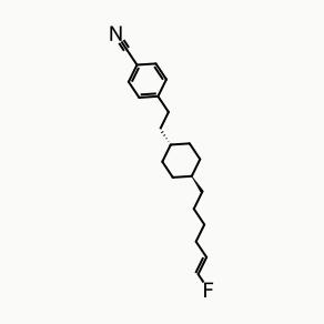 N#Cc1ccc(CC[C@H]2CC[C@H](CCCCC=CF)CC2)cc1